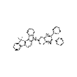 CC1(C)c2ccccc2-c2ccc3c(c21)c1ccccc1n3-c1ccc2nc(-c3ccccc3)c(-c3ccccc3)nc2c1